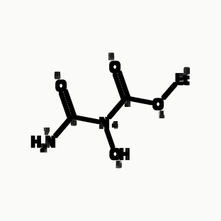 CCOC(=O)N(O)C(N)=O